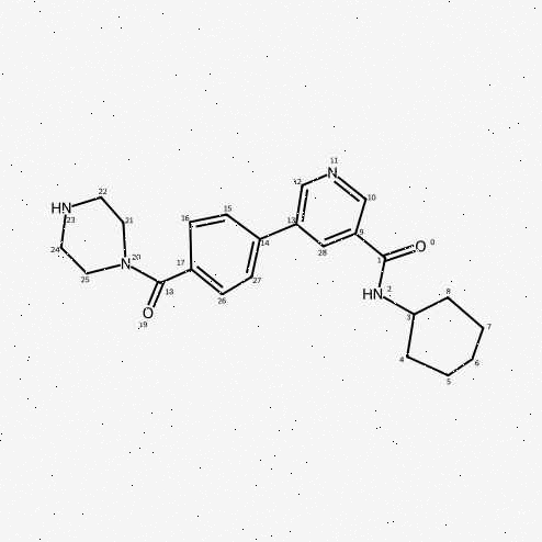 O=C(NC1CCCCC1)c1cncc(-c2ccc(C(=O)N3CCNCC3)cc2)c1